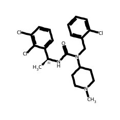 C[C@H](NC(=O)N(Cc1ccccc1Cl)C1CCN(C)CC1)c1cccc(Cl)c1Cl